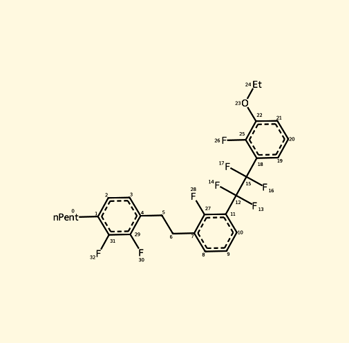 CCCCCc1ccc(CCc2cccc(C(F)(F)C(F)(F)c3cccc(OCC)c3F)c2F)c(F)c1F